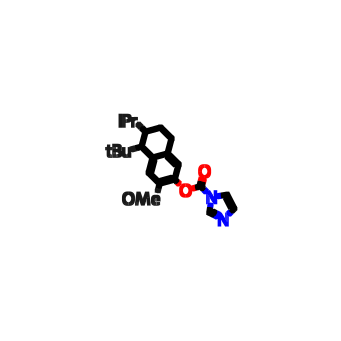 COc1cc2c(cc1OC(=O)n1ccnc1)CCC(C(C)C)C2C(C)(C)C